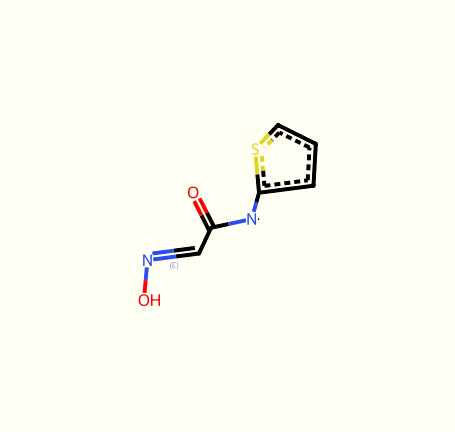 O=C(/C=N/O)[N]c1cccs1